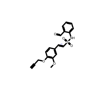 C#CCOc1ccc(/C=C/S(=O)(=O)Nc2ccccc2C=O)cc1OC